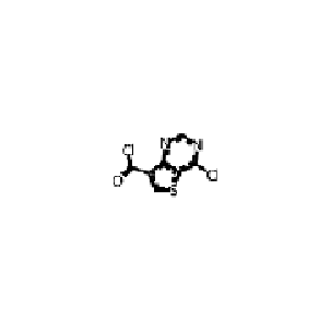 O=C(Cl)c1csc2c(Cl)ncnc12